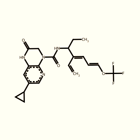 C=C/C(=C\C=C\OC(F)(F)F)C(CC)NC(=O)N1CC(=O)Nc2cc(C3CC3)cnc21